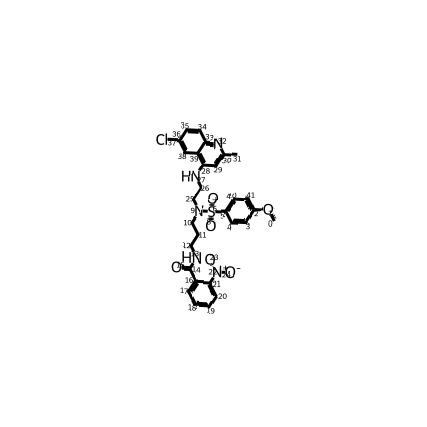 COc1ccc(S(=O)(=O)N(CCCNC(=O)c2ccccc2[N+](=O)[O-])CCNc2cc(C)nc3ccc(Cl)cc23)cc1